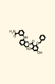 NC(=O)c1cccc(Nc2cccc3c2CN(C(=O)c2c(O)cc(O)cc2OCc2ccccc2)CC3)c1